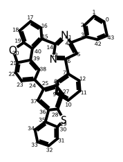 c1ccc(-c2cc(-c3ccccc3)nc(-c3cccc4oc5ccc(-c6ccc7sc8ccccc8c7c6)cc5c34)n2)cc1